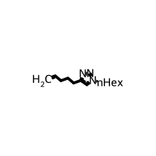 C=CCCCc1cn(CCCCCC)nn1